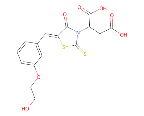 O=C(O)CC(C(=O)O)N1C(=O)C(=Cc2cccc(OCCO)c2)SC1=S